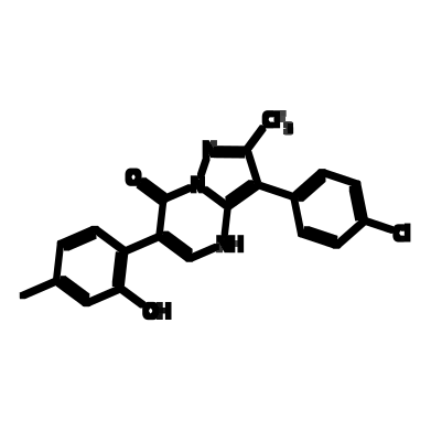 Cc1ccc(-c2c[nH]c3c(-c4ccc(Cl)cc4)c(C(F)(F)F)nn3c2=O)c(O)c1